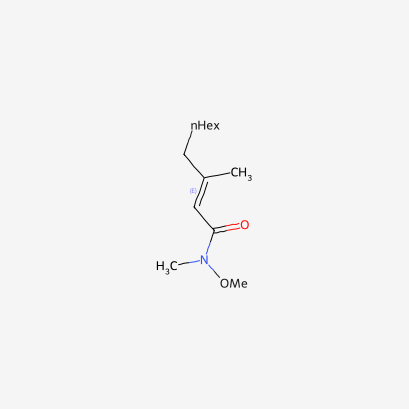 CCCCCCC/C(C)=C/C(=O)N(C)OC